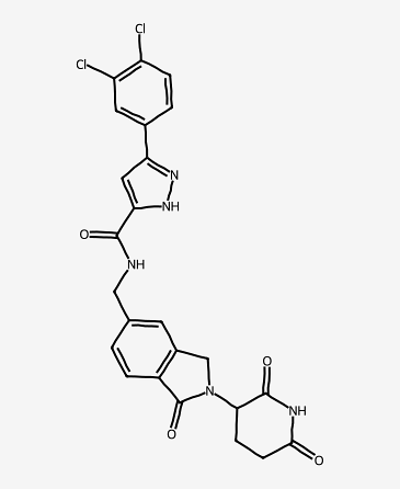 O=C1CCC(N2Cc3cc(CNC(=O)c4cc(-c5ccc(Cl)c(Cl)c5)n[nH]4)ccc3C2=O)C(=O)N1